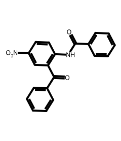 O=C(Nc1ccc([N+](=O)[O-])cc1C(=O)c1ccccc1)c1ccccc1